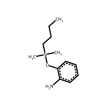 CCCC[Si](C)(C)Oc1ccccc1N